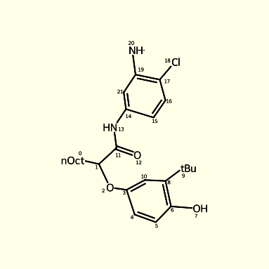 CCCCCCCCC(Oc1ccc(O)c(C(C)(C)C)c1)C(=O)Nc1ccc(Cl)c([NH])c1